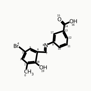 Cc1cc(Br)cc(/C=N/c2cccc(C(=O)O)c2)c1O